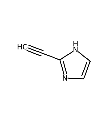 C#Cc1ncc[nH]1